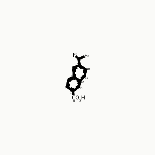 O=C(O)c1ccc2cc([C](F)F)ccc2c1